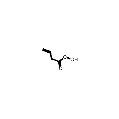 C=C[CH]C(=O)OO